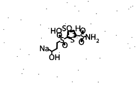 NS(=O)(=O)c1ccc(S(=O)(=O)CC[CH](O)[Na])s1.O=S(=O)(O)O